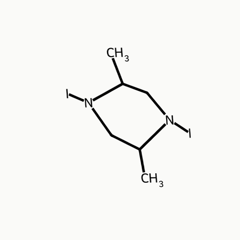 CC1CN(I)C(C)CN1I